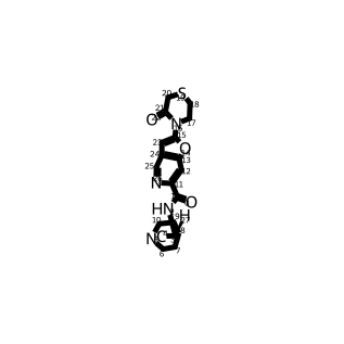 O=C(N[C@H]1CN2CCC1CC2)c1cc2oc(N3CCSCC3=O)cc2cn1